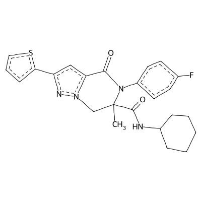 CC1(C(=O)NC2CCCCC2)Cn2nc(-c3cccs3)cc2C(=O)N1c1ccc(F)cc1